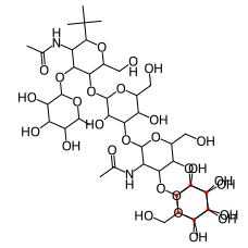 CC(=O)NC1C(OC2C(O)C(CO)OC(OC3C(CO)OC(C(C)(C)C)C(NC(C)=O)C3OC3OC(C)C(O)C(O)C3O)C2O)OC(CO)C(OC2OC(CO)C(O)C(O)C2O)C1OC1OC(C)C(O)C(O)C1O